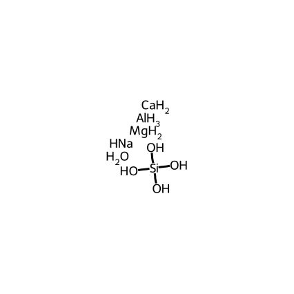 O.O[Si](O)(O)O.[AlH3].[CaH2].[MgH2].[NaH]